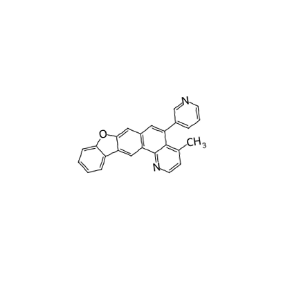 Cc1ccnc2c1c(-c1cccnc1)cc1cc3oc4ccccc4c3cc12